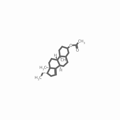 CC[C@H]1CC=C2[C@@H]3CCC4CC(OC(C)=O)CC[C@]4(C)[C@H]3CC[C@@]21C